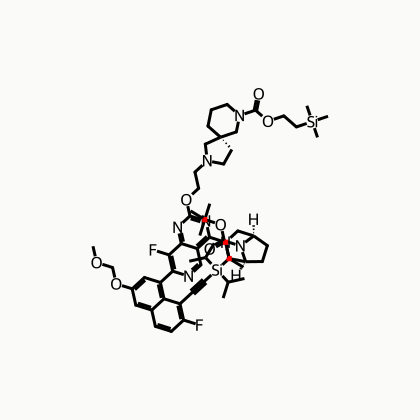 COCOc1cc(-c2ncc3c(N4C[C@H]5CC[C@@H](C4)N5C(=O)OC(C)(C)C)nc(OCCN4CC[C@@]5(CCCN(C(=O)OCC[Si](C)(C)C)C5)C4)nc3c2F)c2c(C#C[Si](C(C)C)(C(C)C)C(C)C)c(F)ccc2c1